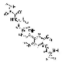 CNC(=O)C(=O)Nc1ccc(Nc2ccnc3cc(OCC4(N)CC4)c(OC)cc23)c(F)c1